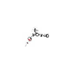 CC(C)OC(=O)NC1CCC2(c3ncc(-c4ccc(NC(=O)NCc5ccccc5)cc4S(=O)(=O)NC(C)(C)C)s3)CCC1CC2